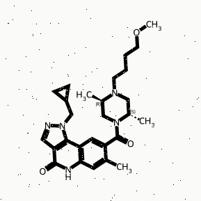 COCCCCN1C[C@H](C)N(C(=O)c2cc3c(cc2C)[nH]c(=O)c2cnn(CC4CC4)c23)C[C@H]1C